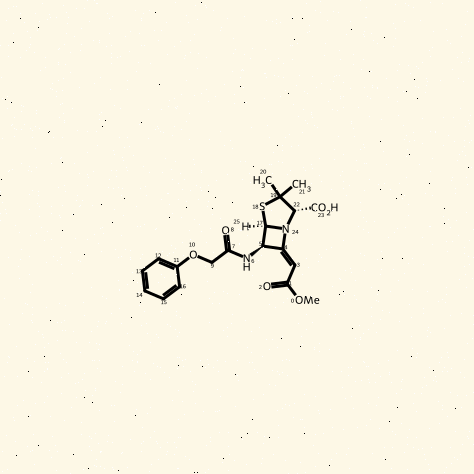 COC(=O)/C=C1\[C@@H](NC(=O)COc2ccccc2)[C@H]2SC(C)(C)[C@H](C(=O)O)N12